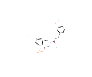 CCCCCCCCCCOc1cccc(CCC(=O)N(CCOP(=O)(O)O)Cc2cccc(OC)c2)c1.N